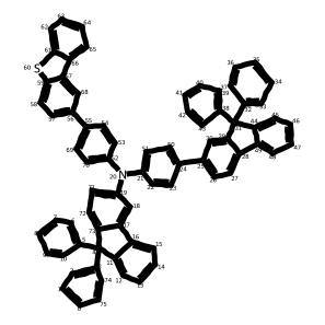 c1ccc(C2(c3ccccc3)c3ccccc3-c3cc(N(c4ccc(-c5ccc6c(c5)C(c5ccccc5)(c5ccccc5)c5ccccc5-6)cc4)c4ccc(-c5ccc6sc7ccccc7c6c5)cc4)ccc32)cc1